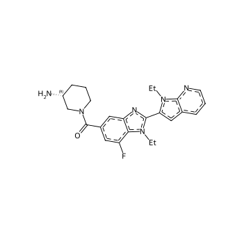 CCn1c(-c2nc3cc(C(=O)N4CCC[C@@H](N)C4)cc(F)c3n2CC)cc2cccnc21